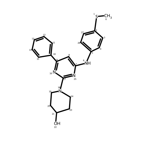 CSc1ccc(Nc2cc(-c3ccccc3)nc(N3CCC(O)CC3)n2)cc1